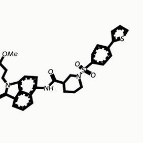 COCCCN1C(=O)c2cccc3c(NC(=O)C4CCCN(S(=O)(=O)c5ccc(-c6cccs6)cc5)C4)ccc1c23